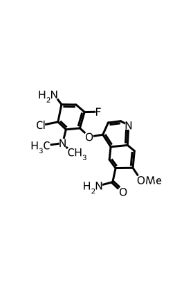 COc1cc2nccc(Oc3c(F)cc(N)c(Cl)c3N(C)C)c2cc1C(N)=O